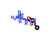 Cc1cnc(CCc2ccccc2)c(=O)n1CC(=O)NCCNNC(=N)N